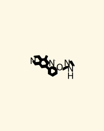 Cc1c2ccncc2cc2c3cccc(OCC4=NCCN4)c3n(C)c12